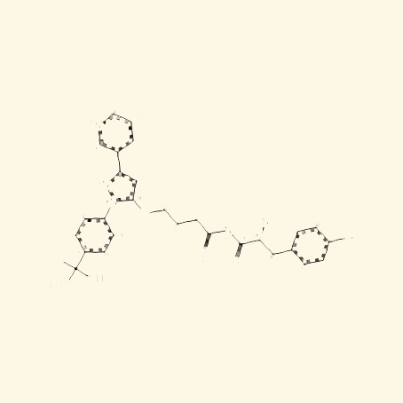 CC(C)(C)c1ccc(-n2nc(-c3cccnc3)cc2OCCCC(=O)NC(=O)[C@@H](N)Cc2ccc(O)cc2)cc1